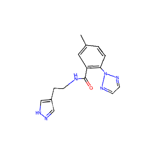 Cc1ccc(-n2nccn2)c(C(=O)NCCc2cn[nH]c2)c1